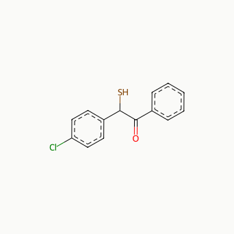 O=C(c1ccccc1)C(S)c1ccc(Cl)cc1